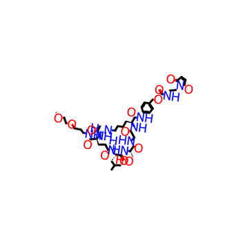 COCCOCCCNC(=O)[C@H](CCC(=O)N[C@@H](CC(C)C)C(=O)N[C@@H](CO)C(=O)NCC(=O)N[C@@H](CCCCN)C(=O)Nc1ccc(COC(=O)NCCN2C(=O)C=CC2=O)cc1)NC(C)=O